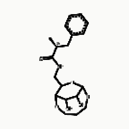 C[C@@H](Cc1ccccc1)C(=O)NCC1OC2OCCCOC1C(O)C2O